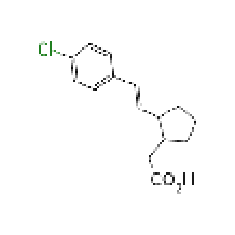 O=C(O)CC1CCCC1C=Cc1ccc(Cl)cc1